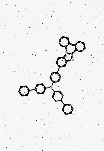 C1=CC(c2ccccc2)CC=C1N(c1ccc(-c2ccccc2)cc1)c1ccc(-c2ccc3c(c2)nc2c4ccccc4c4ccccc4n32)cc1